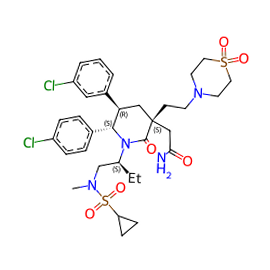 CC[C@@H](CN(C)S(=O)(=O)C1CC1)N1C(=O)[C@@](CCN2CCS(=O)(=O)CC2)(CC(N)=O)C[C@H](c2cccc(Cl)c2)[C@H]1c1ccc(Cl)cc1